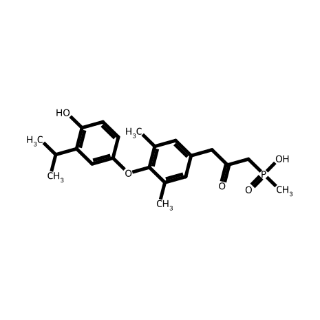 Cc1cc(CC(=O)CP(C)(=O)O)cc(C)c1Oc1ccc(O)c(C(C)C)c1